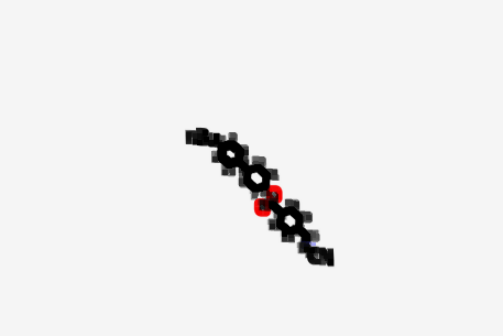 CCCCc1ccc(C2CCC(OC(=O)C3CCC(/C=C/C#N)CC3)CC2)cc1